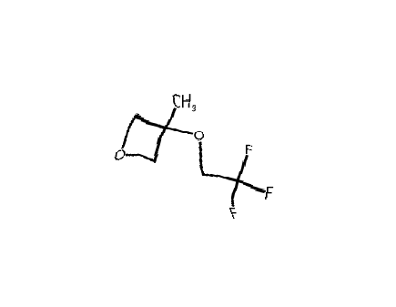 CC1(OCC(F)(F)F)COC1